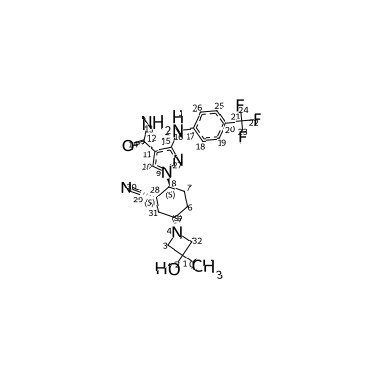 CC1(O)CN([C@H]2CC[C@H](n3cc(C(N)=O)c(Nc4ccc(C(F)(F)F)cc4)n3)[C@@H](C#N)C2)C1